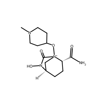 CN1CCC(O[N+]23C[C@@H](CC[C@H]2C(N)=O)N(O)C3=O)CC1